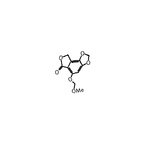 COCOc1cc2c(c3c1C(=O)OC3)OCO2